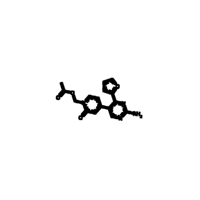 CC(=O)OCn1ccc(-c2cnc(N)nc2-c2ccco2)cc1=O